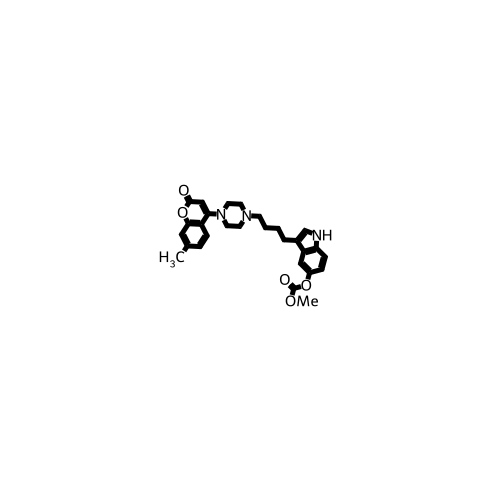 COC(=O)Oc1ccc2[nH]cc(CCCCN3CCN(c4cc(=O)oc5cc(C)ccc45)CC3)c2c1